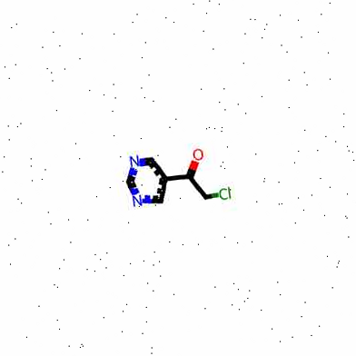 O=C(CCl)c1cncnc1